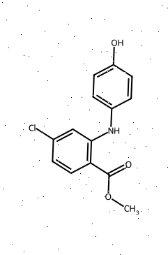 COC(=O)c1ccc(Cl)cc1Nc1ccc(O)cc1